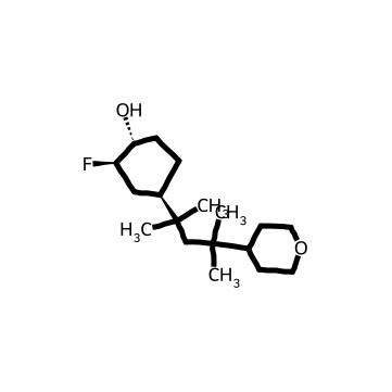 CC(C)(CC(C)(C)[C@@H]1CC[C@@H](O)[C@H](F)C1)C1CCOCC1